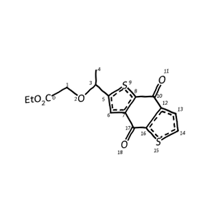 CCOC(=O)COC(C)c1cc2c(s1)C(=O)c1ccsc1C2=O